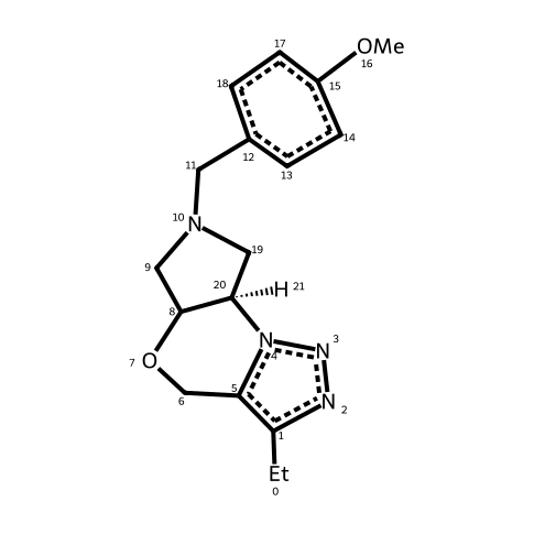 CCc1nnn2c1COC1CN(Cc3ccc(OC)cc3)C[C@H]12